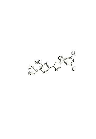 N#Cc1nc(C2CC(c3cc(Cl)nc(Cl)c3)(C(F)(F)F)C=N2)ccc1-n1cncn1